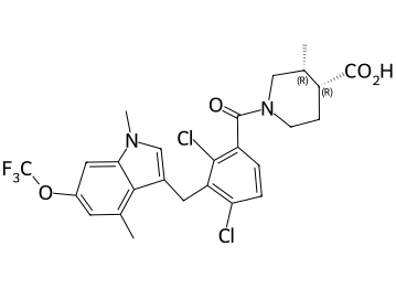 Cc1cc(OC(F)(F)F)cc2c1c(Cc1c(Cl)ccc(C(=O)N3CC[C@@H](C(=O)O)[C@@H](C)C3)c1Cl)cn2C